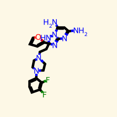 NC1=CC(N)=NC2=NC(CCN3CCN(c4cccc(F)c4F)CC3)(c3ccco3)NN12